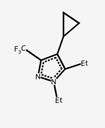 CCc1c(C2CC2)c(C(F)(F)F)nn1CC